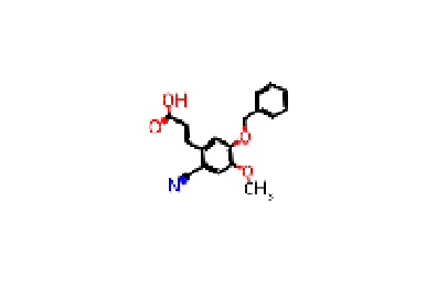 COc1cc(C#N)c(C=CC(=O)O)cc1OCc1ccccc1